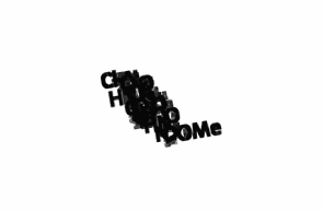 COc1ccnc(NC(=O)c2ccc(CN3C(=O)c4ncc(Cl)cc4NC(=O)C3Cc3ccccn3)cc2Cl)c1